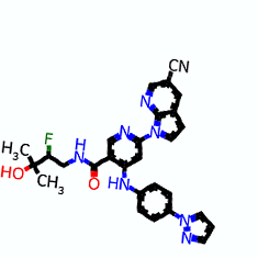 CC(C)(O)C(F)CNC(=O)c1cnc(-n2ccc3cc(C#N)cnc32)cc1Nc1ccc(-n2cccn2)cc1